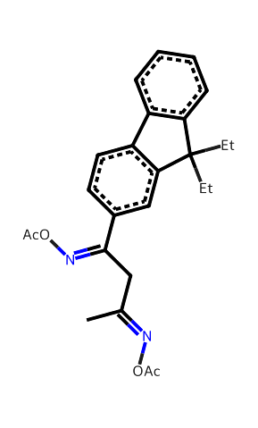 CCC1(CC)c2ccccc2-c2ccc(/C(C/C(C)=N/OC(C)=O)=N\OC(C)=O)cc21